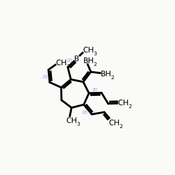 BC(B)=C1C(/C=B\C)=C(/C=C\C)CC(C)C(=C/C=C)/C1=C\C=C